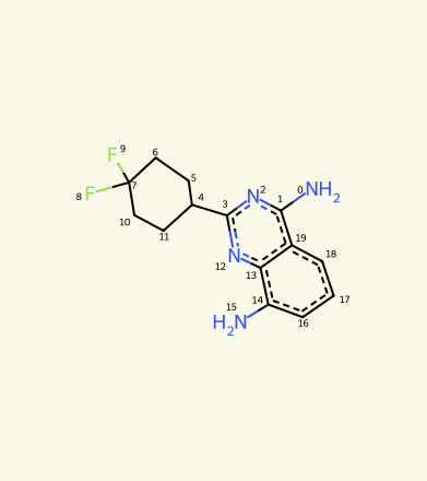 Nc1nc(C2CCC(F)(F)CC2)nc2c(N)cccc12